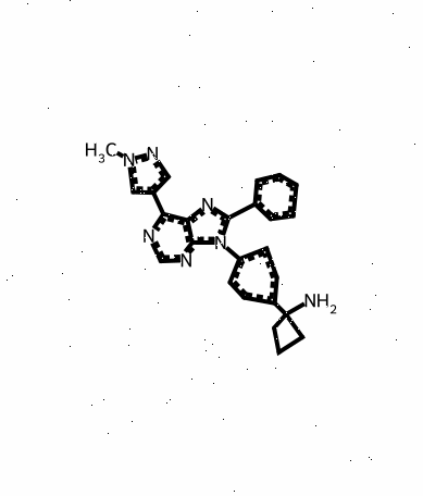 Cn1cc(-c2ncnc3c2nc(-c2ccccc2)n3-c2ccc(C3(N)CCC3)cc2)cn1